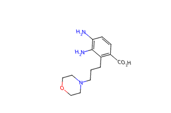 Nc1ccc(C(=O)O)c(CCCN2CCOCC2)c1N